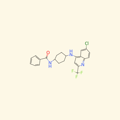 O=C(NC1CCC(Nc2cc(C(F)(F)F)nc3ccc(Cl)cc23)CC1)c1ccccc1